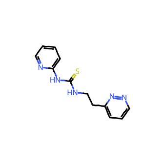 S=C(NCCc1cccnn1)Nc1ccccn1